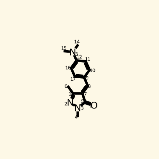 CC1=NN(C)C(=O)C1=Cc1ccc(N(C)C)cc1